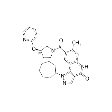 Cc1cc2[nH]c(=O)c3cnn(C4CCCCCC4)c3c2cc1C(=O)N1CC[C@@H](Oc2ccccn2)C1